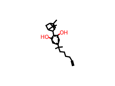 C#CCCCCC(C)(C)c1cc(O)c(C2C=C(C)C3CC2C3(C)C)c(O)c1